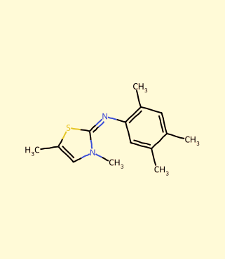 Cc1cn(C)c(=Nc2cc(C)c(C)cc2C)s1